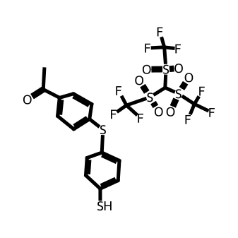 CC(=O)c1ccc(Sc2ccc(S)cc2)cc1.O=S(=O)(C(S(=O)(=O)C(F)(F)F)S(=O)(=O)C(F)(F)F)C(F)(F)F